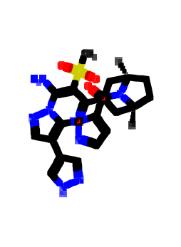 CS(=O)(=O)c1c([C@H]2C[C@H]3CC[C@@H](C2)N3C(=O)c2ccn[nH]2)nc2c(-c3cn[nH]c3)cnn2c1N